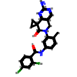 Cc1ccc(NC(=O)c2ccc(F)cc2F)cc1N1Cc2cnc(N)nc2C2(CC2)C1=O